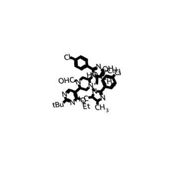 CCOc1nc(C(C)(C)C)ncc1C1C[N+](C[C@H](O)CO)(N2C(c3ccc(Cl)cc3)=NC(C)C2C)C(N2C(c3ccc(Cl)cc3)=N[C@H](C)[C@@H]2C)CN1C=O